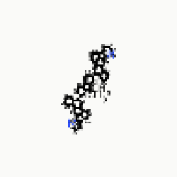 CC1(C)c2cc(-c3cc4c5cccc6c5c(cc4c4ccccc34)-c3ncccc3-6)ccc2-c2ccc(-c3cc4c5cccc6c5c(cc4c4ccccc34)-c3ncccc3-6)cc21